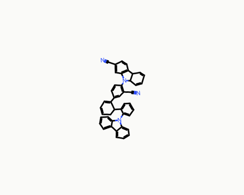 N#Cc1ccc2c(c1)N(c1ccc(C3=CC=CCC3c3ccccc3-n3c4ccccc4c4ccccc43)cc1C#N)C1C=CC=CC21